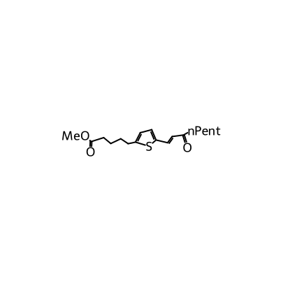 CCCCCC(=O)/C=C/c1ccc(CCCCC(=O)OC)s1